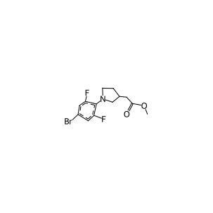 COC(=O)CC1CCN(c2c(F)cc(Br)cc2F)C1